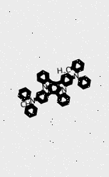 Cc1ccccc1N(c1ccccc1)c1ccc2c3c4c5ccccc5n5c6cc(N(c7ccccc7)c7ccccc7C)ccc6c(c6c7ccccc7n(c2c1)c63)c45